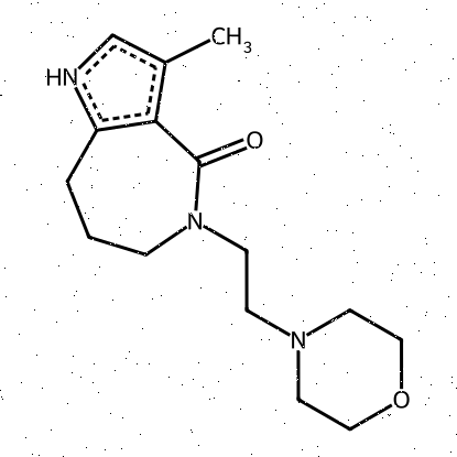 Cc1c[nH]c2c1C(=O)N(CCN1CCOCC1)CCC2